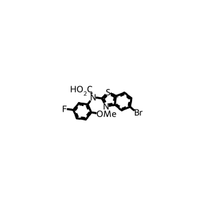 COc1ccc(F)cc1N(C(=O)O)c1nc2cc(Br)ccc2s1